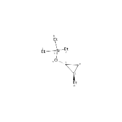 CC[C@@H]1C[C@H]1O[Si](CC)(CC)CC